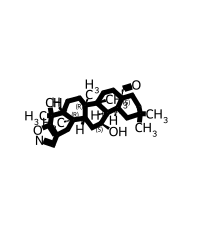 CC1(C)CC[C@]2(C=O)CC[C@]3(C)[C@H]([C@@H](O)C[C@@H]4[C@@]5(C)Cc6cnoc6C(C)(C)[C@@H]5CC[C@]43C)[C@@H]2C1